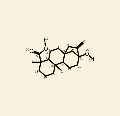 C=C1CC23CCC4C(C)(C(=O)OI)CCCC4(C)C2CCC1(OI)C3